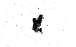 COc1cccc2c1C[C@H]1CC(OC(=O)c3ccc(-c4ccccc4)cc3)[C@H](CCC=O)[C@H]1C2